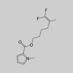 CC(CCCCOC(=O)c1cccn1C)=C(F)F